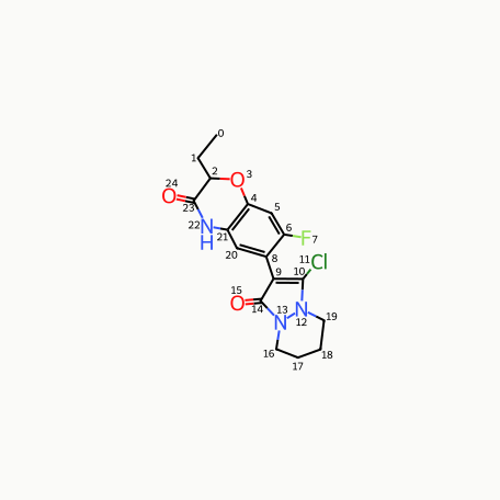 CCC1Oc2cc(F)c(-c3c(Cl)n4n(c3=O)CCCC4)cc2NC1=O